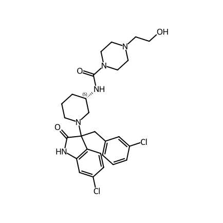 O=C(N[C@H]1CCCN(C2(Cc3cccc(Cl)c3)C(=O)Nc3cc(Cl)ccc32)C1)N1CCN(CCO)CC1